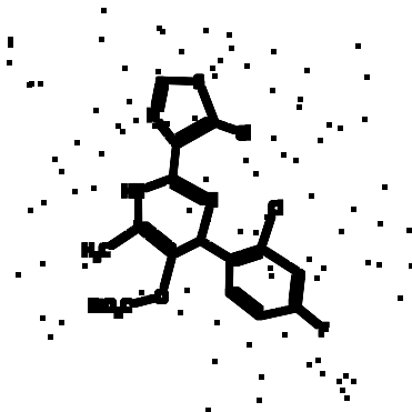 CCOC(=O)OC1=C(C)NC(c2ncsc2Cl)=NC1c1ccc(F)cc1Cl